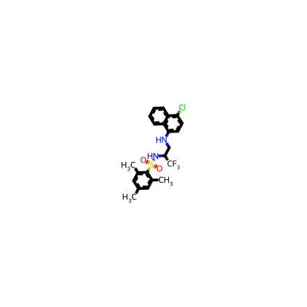 Cc1cc(C)c(S(=O)(=O)NC(CNc2ccc(Cl)c3ccccc23)C(F)(F)F)c(C)c1